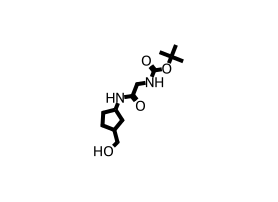 CC(C)(C)OC(=O)NCC(=O)NC1CCC(CO)C1